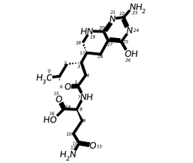 CCC[C@@H](CC(=O)N[C@@H](CCC(N)=O)C(=O)O)[C@@H]1CNc2nc(N)nc(O)c2C1